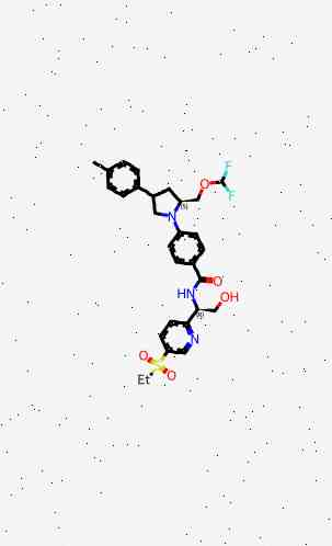 CCS(=O)(=O)c1ccc([C@H](CO)NC(=O)c2ccc(N3CC(c4ccc(C)cc4)C[C@H]3COC(F)F)cc2)nc1